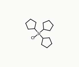 Cl[Si](C1CCCC1)(C1CCCC1)C1CCCC1